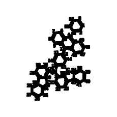 c1ccc(-c2c3ccccc3c(-c3ccc(N(c4cccc5c4sc4ccccc45)c4cccc5c4sc4ccccc45)cc3)c3ccccc23)cc1